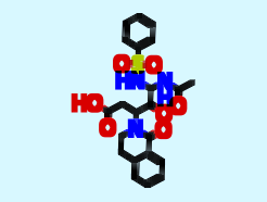 CC(=O)NC(NS(=O)(=O)c1ccccc1)C(=O)C(CC(=O)O)N1CCc2ccccc2C1=O